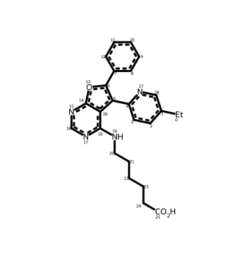 CCc1ccc(-c2c(-c3ccccc3)oc3ncnc(NCCCCCC(=O)O)c23)nc1